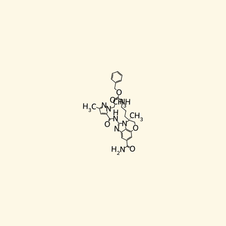 CCn1nc(C)cc1C(=O)Nc1nc2cc(C(N)=O)cc3c2n1[C@@](C)(CCCNC(=O)OCc1ccccc1)CO3